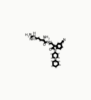 N#Cc1ccc2c(c1)C(CCNC(=O)[C@@H](N)CCCNC(=N)N)C(=O)N2C1CCN(C2CCCCC2)CC1